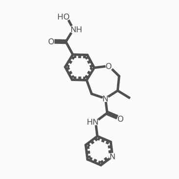 CC1COc2cc(C(=O)NO)ccc2CN1C(=O)Nc1cccnc1